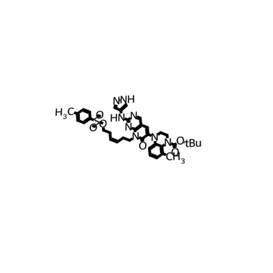 Cc1ccc(S(=O)(=O)OCC/C=C\CCn2c(=O)c(N3CCN(C(=O)OC(C)(C)C)c4c(C)cccc43)cc3cnc(Nc4cn[nH]c4)nc32)cc1